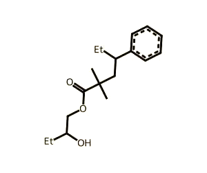 CCC(O)COC(=O)C(C)(C)CC(CC)c1ccccc1